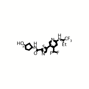 CC[C@H](Nc1cc(C(F)F)c(-c2cnc(C(=O)N[C@@H]3CC[C@@H](O)C3)s2)cn1)C(F)(F)F